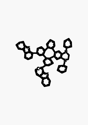 c1ccc(N2CCN(c3ccccc3)c3cc4c(cc32)-c2ccccc2-c2ccc(-c3cccc5c3sc3ccccc35)cc2-c2cc(-c3cccc5c3sc3ccccc35)ccc2-4)cc1